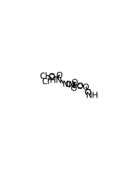 O=C(NCCN1CCN(S(=O)(=O)c2ccc(OC3CCNCC3)cc2)CC1)c1ccc(Cl)c(Cl)c1